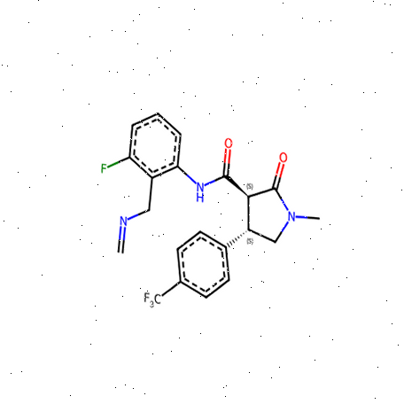 C=NCc1c(F)cccc1NC(=O)[C@H]1C(=O)N(C)C[C@@H]1c1ccc(C(F)(F)F)cc1